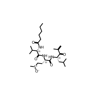 C=C(C)C(=O)[C@H](CC(C)C)NC(=O)[C@H](CC[S+](C)[O-])NC(=O)[C@@H](NC(=O)CCCCC)C(C)C